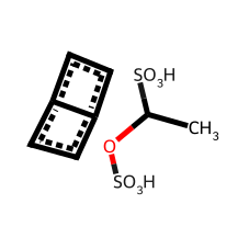 CC(OS(=O)(=O)O)S(=O)(=O)O.c1cc2ccc1-2